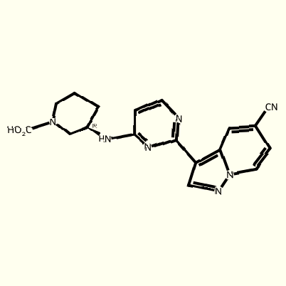 N#Cc1ccn2ncc(-c3nccc(N[C@@H]4CCCN(C(=O)O)C4)n3)c2c1